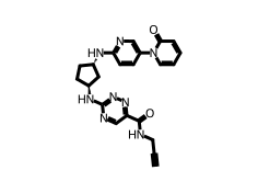 C#CCNC(=O)c1cnc(N[C@H]2CC[C@H](Nc3ccc(-n4ccccc4=O)cn3)C2)nn1